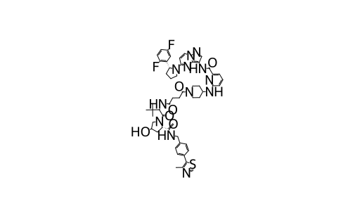 Cc1ncsc1-c1ccc(CNC(=O)[C@@H]2C[C@@H](O)CN2C(=O)[C@@H](NC(=O)CCC(=O)N2CCC(Nc3cccc(C(=O)Nc4cnn5ccc(N6CCC[C@@H]6c6cc(F)ccc6F)nc45)n3)CC2)C(C)(C)C)cc1